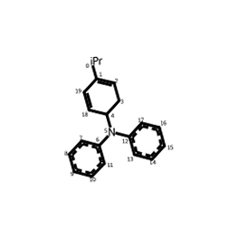 CC(C)C1=CCC(N(c2ccccc2)c2ccccc2)C=C1